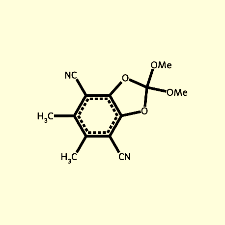 COC1(OC)Oc2c(C#N)c(C)c(C)c(C#N)c2O1